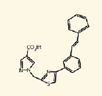 CCOC(=O)c1cnn(Cc2nc(-c3cccc(C=Cc4ccccc4)c3)cs2)c1